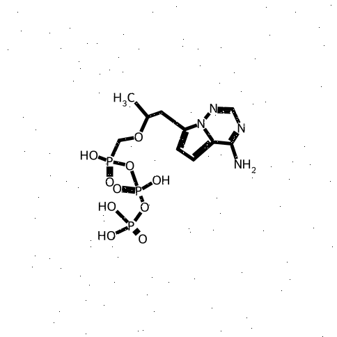 CC(Cc1ccc2c(N)ncnn12)OCP(=O)(O)OP(=O)(O)OP(=O)(O)O